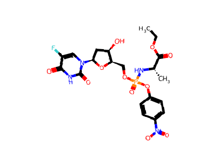 CCOC(=O)[C@H](C)NP(=O)(OC[C@H]1O[C@@H](n2cc(F)c(=O)[nH]c2=O)C[C@H]1O)Oc1ccc([N+](=O)[O-])cc1